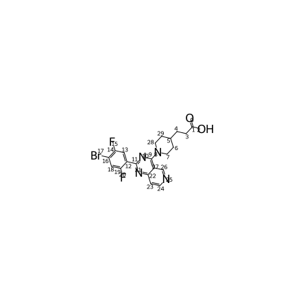 O=C(O)CCC1CCN(c2nc(-c3cc(F)c(Br)cc3F)nc3ccncc23)CC1